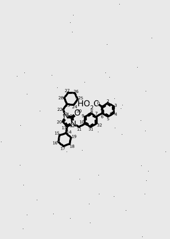 O=C(O)c1ccccc1-c1ccc(Cn2c(C3CCCCC3)cn(CC3CCCCC3)c2=O)cc1